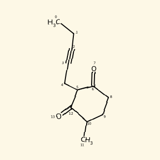 CCC#CCC1C(=O)CCC(C)C1=O